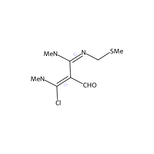 CN/C(Cl)=C(C=O)\C(=N/CSC)NC